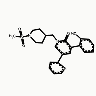 CS(=O)(=O)N1CCC(Cn2cc(-c3ccccn3)cc(-c3ccccc3C#N)c2=O)CC1